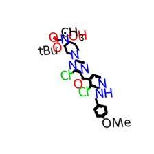 COc1ccc(CNc2nccc(C(=O)c3ncc(N4CCC(O)(N(C)C(=O)OC(C)(C)C)CC4)nc3Cl)c2Cl)cc1